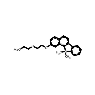 COCCOCCOc1ccc2ccc3c(c2c1)[Si](C)(C)c1ccccc1-3